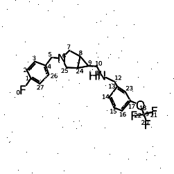 Fc1ccc(CN2CC3C(CNCc4cccc(OC(F)(F)F)c4)C3C2)cc1